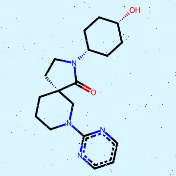 O=C1N([C@H]2CC[C@@H](O)CC2)CC[C@]12CCCN(c1ncccn1)C2